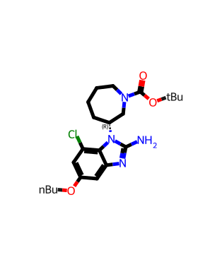 CCCCOc1cc(Cl)c2c(c1)nc(N)n2[C@@H]1CCCCN(C(=O)OC(C)(C)C)C1